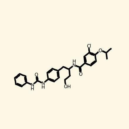 CC(C)Oc1ccc(C(=O)NC(CCO)Cc2ccc(NC(=O)Nc3ccccc3)cc2)cc1Cl